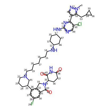 Cn1ncc(-c2nc(N[C@H]3CC[C@H](NCCCCCCCN4CCCC(c5cc(F)cc6c5CN(C5CCC(=O)NC5=O)C6=O)C4)CC3)ncc2Cl)c1CC1CC1